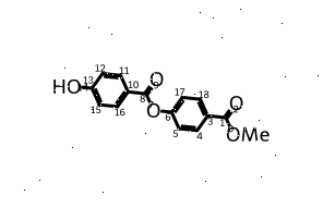 COC(=O)c1ccc(OC(=O)c2ccc(O)cc2)cc1